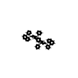 c1ccc(N(c2cc3c(s2)c2cc4c(cc2n3-c2ccccc2)c2sc(N(c3ccccc3)c3cccc5ccccc35)cc2n4-c2ccccc2)c2cccc3ccccc23)cc1